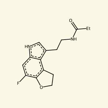 CCC(=O)NCCc1c[nH]c2cc(F)c3c(c12)CCO3